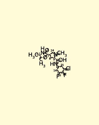 CC(C)NS(=O)(=O)c1cc(C(O)Nc2cc(F)c(F)c(Cl)c2)n(C)c1